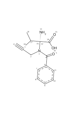 C#CCN(C(=O)c1ccccc1)[C@](N)(C(=O)O)C(C)C